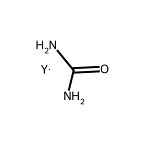 NC(N)=O.[Y]